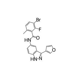 Cc1ccc(Br)c(F)c1C(=O)Nc1ccc2[nH]nc(-c3ccoc3)c2c1